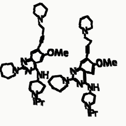 COc1cc2c(NC3CCN(C(C)C)CC3)nc(N3CCCCCC3)nc2cc1C#CCCN1CCCCC1.COc1cc2c(NC3CCN(C(C)C)CC3)nc(N3CCCCCC3)nc2cc1C#CCCN1CCCCC1